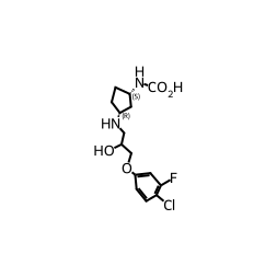 O=C(O)N[C@H]1CC[C@@H](NCC(O)COc2ccc(Cl)c(F)c2)C1